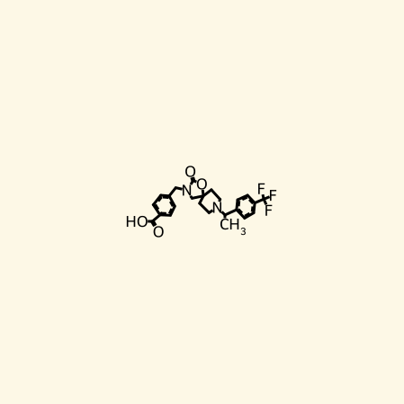 CC(c1ccc(C(F)(F)F)cc1)N1CCC2(CC1)CN(Cc1ccc(C(=O)O)cc1)C(=O)O2